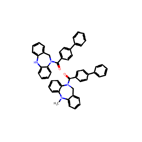 CN1c2ccccc2CN(C(=O)c2ccc(-c3ccccc3)cc2)c2ccccc21.O=C(c1ccc(-c2ccccc2)cc1)N1Cc2ccccc2Nc2ccccc21